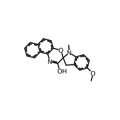 COc1ccc2c(c1)CC1(Oc3ccc4ccccc4c3N=C1O)N2C